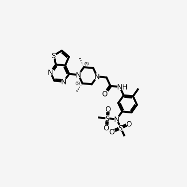 Cc1ccc(N(S(C)(=O)=O)S(C)(=O)=O)cc1NC(=O)CN1C[C@@H](C)N(c2ncnc3sccc23)[C@@H](C)C1